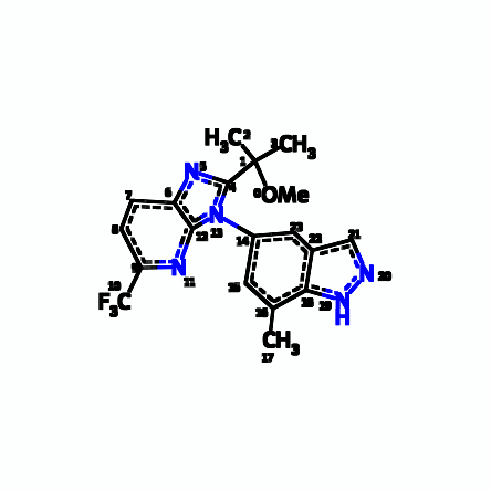 COC(C)(C)c1nc2ccc(C(F)(F)F)nc2n1-c1cc(C)c2[nH]ncc2c1